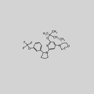 C[C@@H]1COCCN1c1cc(OC(C)(C)C)nc(N2CCCC2c2cccc(OC(F)(F)F)c2)c1